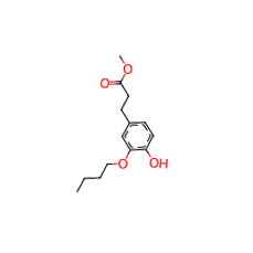 CCCCOc1cc(CCC(=O)OC)ccc1O